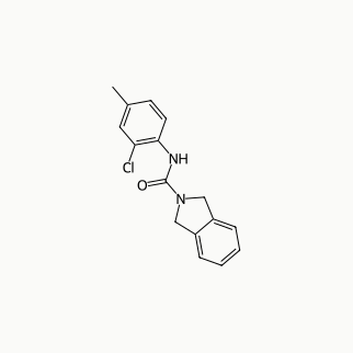 Cc1ccc(NC(=O)N2Cc3ccccc3C2)c(Cl)c1